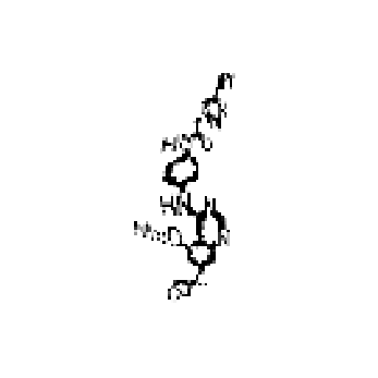 COc1cc(OC2COC2)cc2ncnc(Nc3ccc(NC(=O)Cn4cc(C(C)C)nn4)cc3)c12